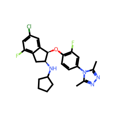 Cc1nnc(C)n1-c1ccc(O[C@@H]2c3cc(Cl)cc(F)c3C[C@@H]2NC2CCCC2)c(F)c1